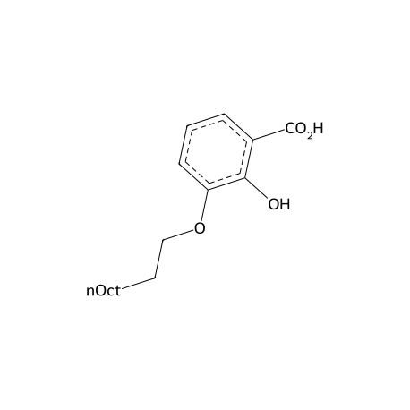 CCCCCCCCCCOc1cccc(C(=O)O)c1O